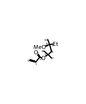 C=CC(=O)OC(C)(C)CC(C)(CC)OC